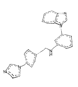 c1cc(NCc2ccc(-n3ccnc3)cc2)cc(-n2cnc3ccccc32)c1